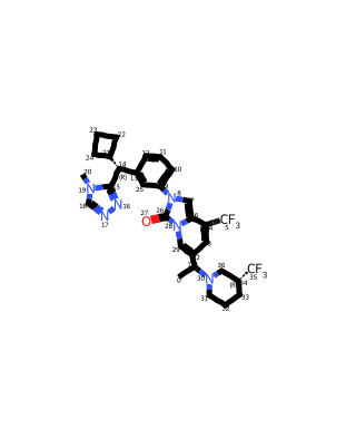 CC(c1cc(C(F)(F)F)c2cn(-c3cccc([C@H](c4nncn4C)C4CCC4)c3)c(=O)n2c1)N1CCC[C@@H](C(F)(F)F)C1